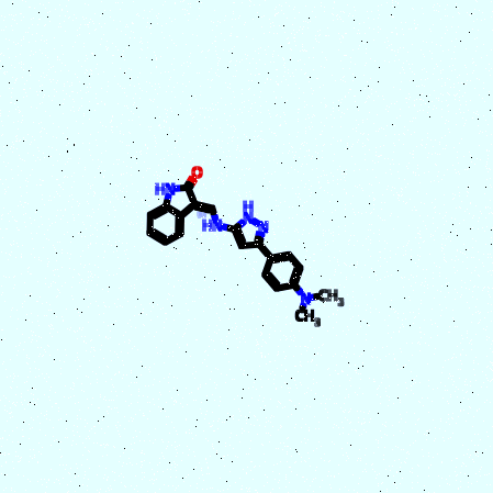 CN(C)c1ccc(-c2cc(N/C=C3/C(=O)Nc4ccccc43)[nH]n2)cc1